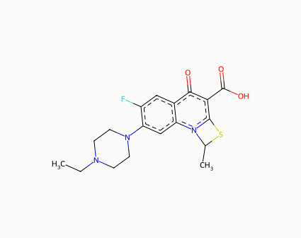 CCN1CCN(c2cc3c(cc2F)c(=O)c(C(=O)O)c2n3C(C)S2)CC1